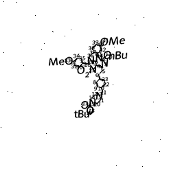 CCCCOc1nc(CCc2ccc(CN3CCN(C(=O)OC(C)(C)C)CC3)cc2)c([N+](=O)[O-])c(N(Cc2ccc(OC)cc2)Cc2ccc(OC)cc2)n1